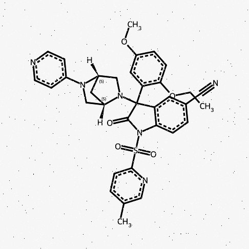 CCOc1ccc(OC)cc1C1(N2C[C@@H]3C[C@H]2CN3c2ccncc2)C(=O)N(S(=O)(=O)c2ccc(C)cn2)c2ccc(C#N)cc21